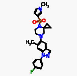 Cc1cc2c(cnn2-c2ccc(F)cc2)cc1N1CCN(S(=O)(=O)c2ccn(C)c2)C2(CC2)C1